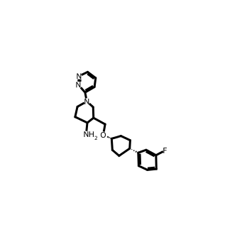 NC1CCN(c2cccnn2)CC1CO[C@H]1CC[C@@H](c2cccc(F)c2)CC1